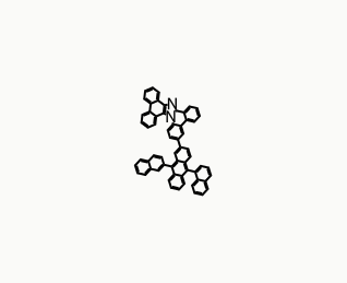 c1ccc2cc(-c3c4ccccc4c(-c4cccc5ccccc45)c4ccc(-c5ccc6c(c5)c5ccccc5c5nc7c8ccccc8c8ccccc8c7n65)cc34)ccc2c1